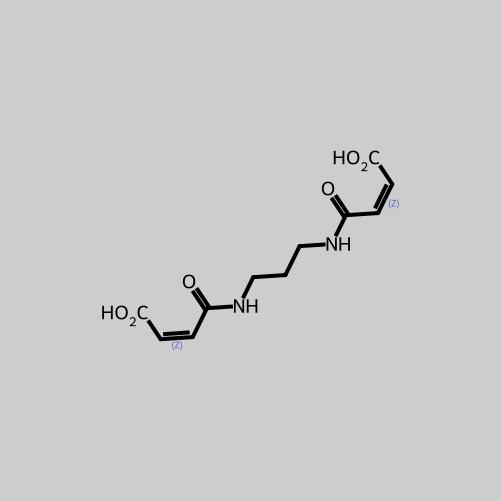 O=C(O)/C=C\C(=O)NCCCNC(=O)/C=C\C(=O)O